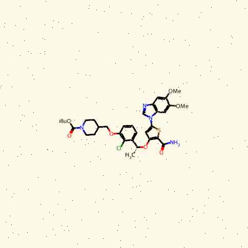 COc1cc2ncn(-c3cc(O[C@H](C)c4cccc(OCC5CCN(C(=O)OCC(C)C)CC5)c4Cl)c(C(N)=O)s3)c2cc1OC